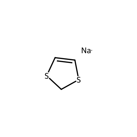 C1=CSCS1.[Na]